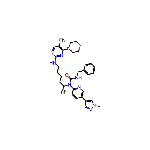 CCCC(CCCCNc1ncc(C#N)c(N2CCSCC2)n1)N(C(=O)NCc1ccccc1)c1ccc(-c2cnn(C)c2)cn1